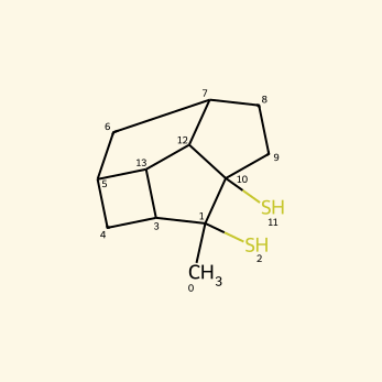 CC1(S)C2CC3CC4CCC1(S)C4C32